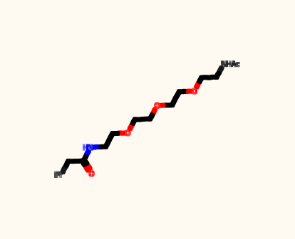 CC(=O)NCCOCCOCCOCCNC(=O)CC(C)C